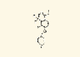 CCC(=O)c1ccc(OCC2CCC(C)CC2)c(F)c1C(F)(F)F